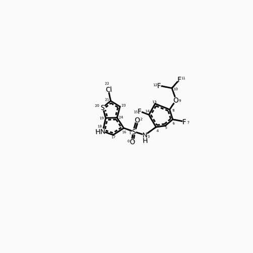 O=S(=O)(Nc1cc(F)c(OC(F)F)cc1F)c1c[nH]c2sc(Cl)cc12